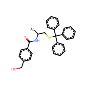 CC(=O)C(CSC(c1ccccc1)(c1ccccc1)c1ccccc1)NC(=O)c1ccc(CO)cc1